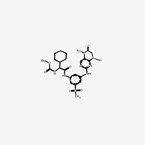 CC(C)N1CC(=O)N(C)c2cnc(Nc3cc(NC(=O)C(NC(=O)OC(C)(C)C)C4CCCCC4)cc(S(C)(=O)=O)c3)nc21